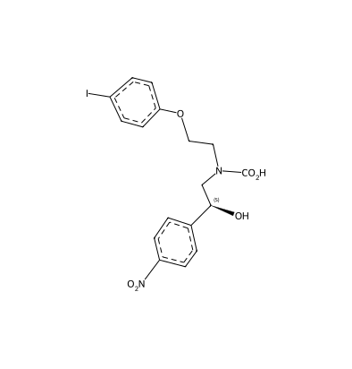 O=C(O)N(CCOc1ccc(I)cc1)C[C@@H](O)c1ccc([N+](=O)[O-])cc1